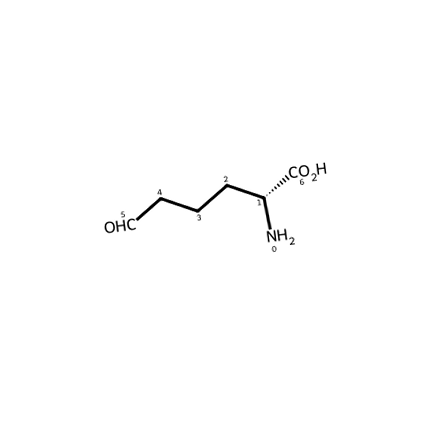 N[C@H](CCCC=O)C(=O)O